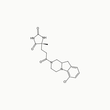 C[C@]1(CCC(=O)N2CCN3c4c(Cl)cccc4CC3C2)NC(=O)NC1=O